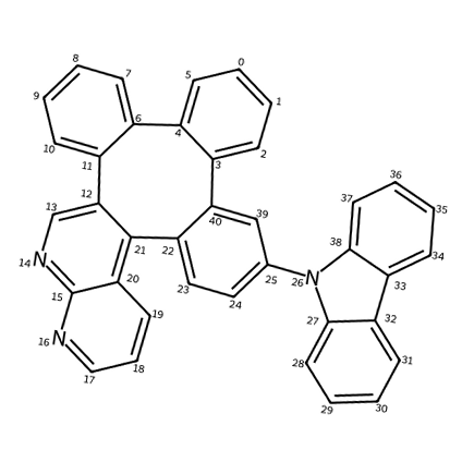 c1ccc2c(c1)-c1ccccc1-c1cnc3ncccc3c1-c1ccc(-n3c4ccccc4c4ccccc43)cc1-2